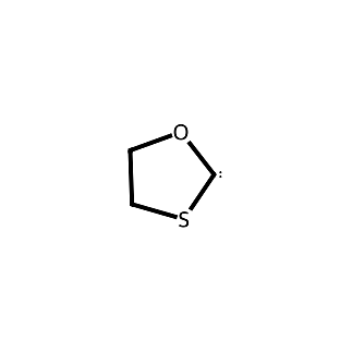 [C]1OCCS1